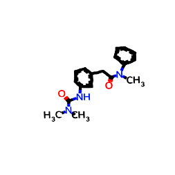 CN(C)C(=O)Nc1cccc(CC(=O)N(C)c2ccccc2)c1